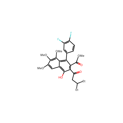 CCC(CC)CC(=O)c1c(C(=O)OC)c(-c2ccc(F)c(F)c2)c2c(OC)c(OC)c(OC)cc2c1O